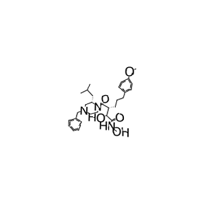 COc1ccc(CCC[C@@H](C(=O)N2CCN(Cc3ccccc3)C[C@@H]2CC(C)C)[C@H](O)C(=O)NO)cc1